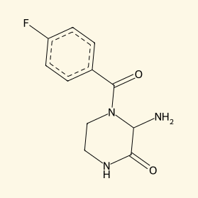 NC1C(=O)NCCN1C(=O)c1ccc(F)cc1